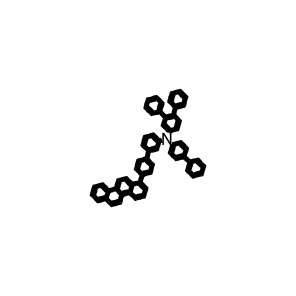 c1ccc(-c2ccc(N(c3cccc(-c4ccc(-c5cccc6c5ccc5c7ccccc7ccc65)cc4)c3)c3ccc(-c4ccccc4)c(-c4ccccc4)c3)cc2)cc1